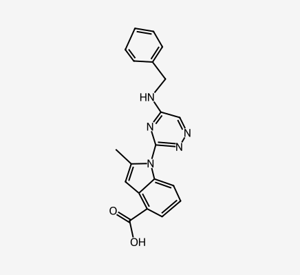 Cc1cc2c(C(=O)O)cccc2n1-c1nncc(NCc2ccccc2)n1